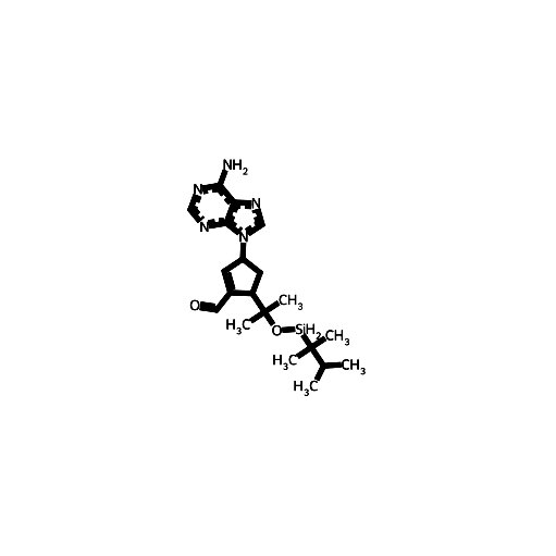 CC(C)C(C)(C)[SiH2]OC(C)(C)C1CC(n2cnc3c(N)ncnc32)C=C1C=O